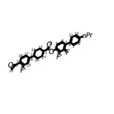 CCCc1ccc(-c2ccc(OC(=O)C3CCC(c4ccc(C5CO5)c(F)c4)CC3)c(F)c2F)cc1